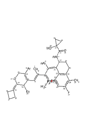 CCC/C(C(=C(C)C)/C(C)=C/C1=C(C(C)=O)COC(=C2CCC2)C1CC)=C1/c2c(C)cc(F)c(C)c2CCC1NC(=O)C1(O)CC1